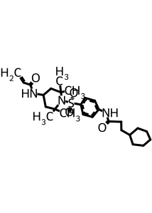 C=CC(=O)NC1CC(C)(C)N(S(=O)(=O)c2ccc(NC(=O)CCC3CCCCC3)cc2)C(C)(C)C1